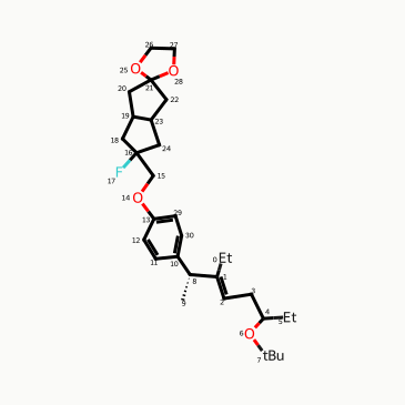 CC/C(=C\CC(CC)OC(C)(C)C)[C@H](C)c1ccc(OCC2(F)CC3CC4(CC3C2)OCCO4)cc1